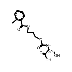 Cc1ccccc1C(=O)OCCCOC(=O)N[C@H](CO)C(=O)O